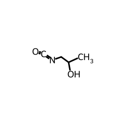 CC(O)CN=C=O